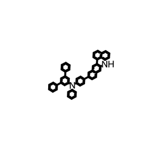 c1ccc(-c2cc(-c3ccccc3)cc(N(c3ccccc3)c3ccc(-c4ccc5cc6c(cc5c4)-c4cccc5cccc(c45)N6)cc3)c2)cc1